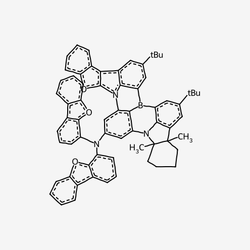 CC(C)(C)c1cc2c3c(c1)C1(C)CCCCC1(C)N3c1cc(N(c3cccc4c3oc3ccccc34)c3cccc4c3oc3ccccc34)cc3c1B2c1cc(C(C)(C)C)cc2c4c5ccccc5oc4n-3c12